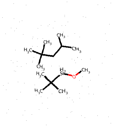 CC(C)CC(C)(C)C.CO[SiH2]C(C)(C)C